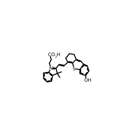 CC1(C)C(C=CC2=C3Sc4cc(O)ccc4C=C3CCC2)=[N+](CCC(=O)O)c2ccccc21